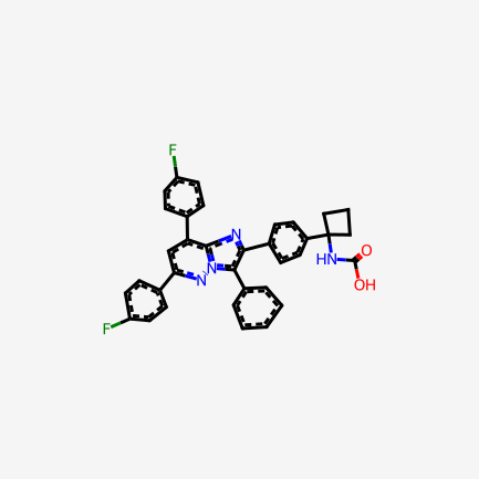 O=C(O)NC1(c2ccc(-c3nc4c(-c5ccc(F)cc5)cc(-c5ccc(F)cc5)nn4c3-c3ccccc3)cc2)CCC1